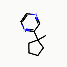 CC1(c2cnccn2)CCCC1